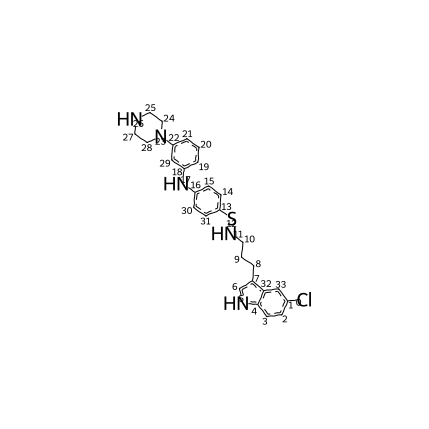 Clc1ccc2[nH]cc(CCCNSc3ccc(Nc4cccc(N5CCNCC5)c4)cc3)c2c1